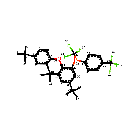 CC(C)(C)c1ccc2c(c1)C(C)(C)c1cc(C(C)(C)C)cc(P(c3ccc(C(F)(F)F)cc3)C(F)(F)F)c1O2